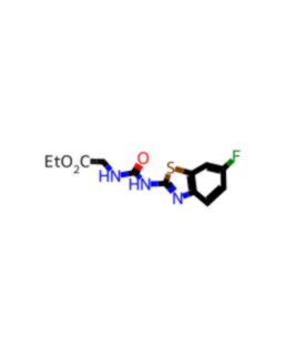 CCOC(=O)CNC(=O)Nc1nc2ccc(F)cc2s1